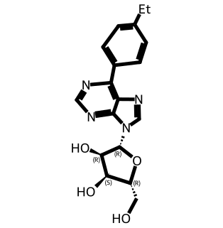 CCc1ccc(-c2ncnc3c2ncn3[C@@H]2O[C@H](CO)[C@@H](O)[C@H]2O)cc1